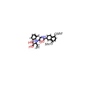 COc1ccc(OC)c2c1CCC(C(=O)N[C@@H](Cc1ccccc1)C(=O)NC(CC(C)C)B(O)O)C2